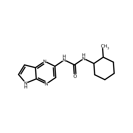 CC1CCCCC1NC(=O)Nc1cnc2[nH]ccc2n1